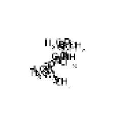 CCN(C(=O)[C@H]1CNC[C@@H](C(=O)Nc2c(C)cccc2OC)C1)c1ccc2c(c1)N(CCCOC)C(=O)C(C)(C)O2